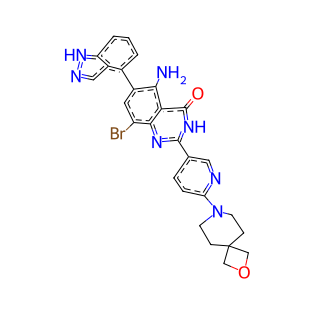 Nc1c(-c2cccc3[nH]ncc23)cc(Br)c2nc(-c3ccc(N4CCC5(CC4)COC5)nc3)[nH]c(=O)c12